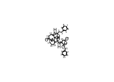 O=C(CCc1ccccc1)N[C@H]1CCC(=O)N2CCC[C@@H](C(=O)N[C@H]3CC(=O)OC3OCc3ccccc3)N2C1=O